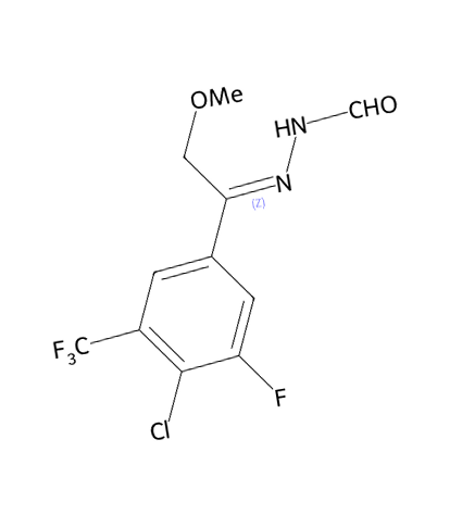 COC/C(=N\NC=O)c1cc(F)c(Cl)c(C(F)(F)F)c1